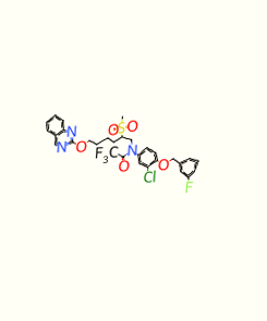 CS(=O)(=O)C(CCCCOc1ncc2ccccc2n1)CN(C(=O)C(F)(F)F)c1ccc(OCc2cccc(F)c2)c(Cl)c1